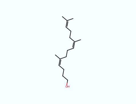 CC(C)=CCC/C(C)=C\CC/C(C)=C\CCCO